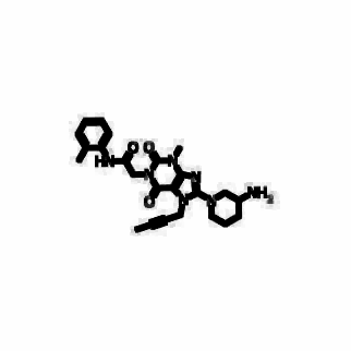 CC#CCn1c(N2CCCC(N)C2)nc2c1c(=O)n(CC(=O)Nc1ccccc1C)c(=O)n2C